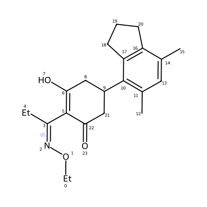 CCO/N=C(/CC)C1=C(O)CC(c2c(C)cc(C)c3c2CCC3)CC1=O